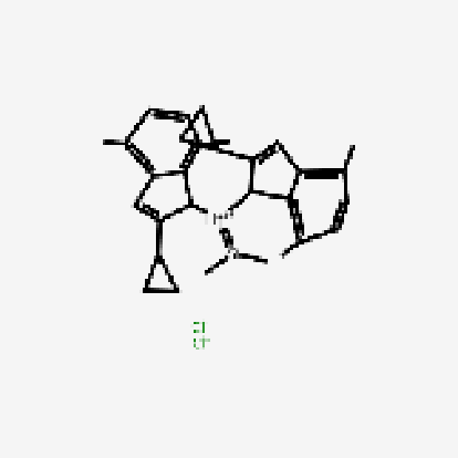 Cc1ccc(C)c2c1C=C(C1CC1)[CH]2[Hf+2]([CH]1C(C2CC2)=Cc2c(C)ccc(C)c21)=[Si](C)C.[Cl-].[Cl-]